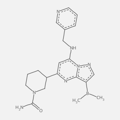 CB(C)c1cnn2c(NCc3cccnc3)cc(C3CCCN(C(N)=O)C3)nc12